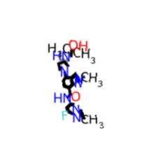 Cc1cn2cc(NC(=O)c3ccc(N4CC[C@H](NCC(C)(C)O)C4)c4cn(C)nc34)cc(F)c2n1